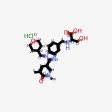 Cc1cc(-c2nc3cc(CNC(CO)C(=O)O)ccc3n2CC2CCOCC2)cn(C)c1=O.Cl